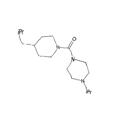 CC(C)CC1CCN(C(=O)N2CCN(C(C)C)CC2)CC1